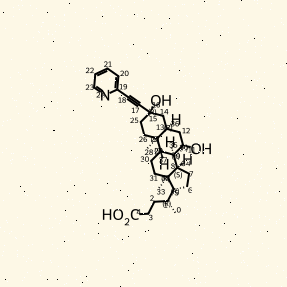 C[C@H](CCC(=O)O)[C@H]1CC[C@H]2[C@@H]3[C@H](O)C[C@@H]4C[C@@](O)(C#Cc5ccccn5)CC[C@]4(C)[C@H]3CC[C@]12C